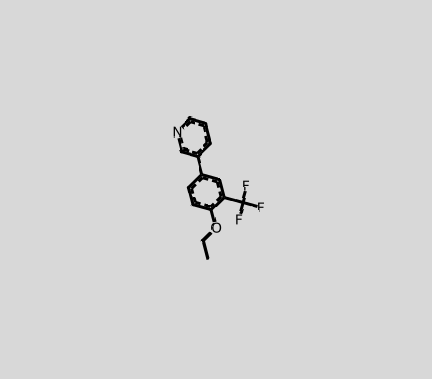 CCOc1ccc(-c2cccnc2)cc1C(F)(F)F